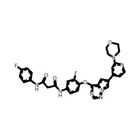 O=C(CC(=O)Nc1ccc(Oc2ncnn3cc(-c4ccnc(N5CCOCC5)c4)cc23)c(F)c1)Nc1ccc(F)cc1